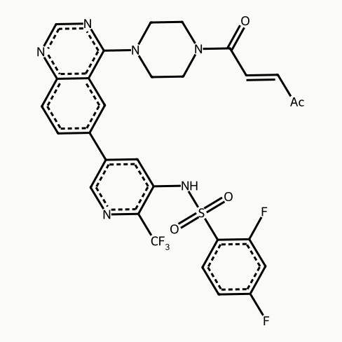 CC(=O)/C=C/C(=O)N1CCN(c2ncnc3ccc(-c4cnc(C(F)(F)F)c(NS(=O)(=O)c5ccc(F)cc5F)c4)cc23)CC1